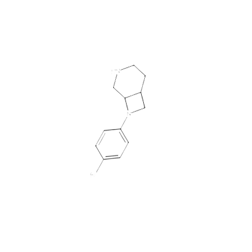 Brc1ccc(N2CC3CCNCC32)cc1